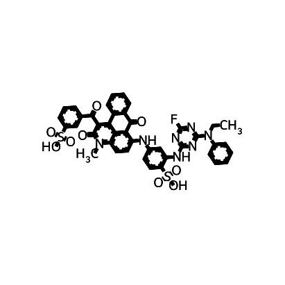 CCN(c1ccccc1)c1nc(F)nc(Nc2cc(Nc3ccc4c5c3C(=O)c3ccccc3-c5c(C(=O)c3cccc(S(=O)(=O)O)c3)c(=O)n4C)ccc2S(=O)(=O)O)n1